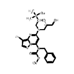 CC(C)c1cnn2c(N(Cc3ccccc3)C(=O)OC(C)(C)C)cc(N(CO[Si](C)(C)C(C)(C)C)C[C@H](O)CO)nc12